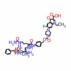 CCn1cc(C(=O)O)c(=O)c2cc(F)c(N3CCN(C(=O)OCc4ccc(NC(=O)[C@H](CCCNC(N)=O)N/C=C(\N)C(C)(C)NC(=O)OCc5ccccc5)cc4)CC3)cc21